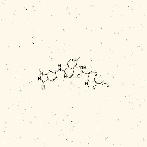 Cc1ccc2c(Nc3ccc4c(Cl)nn(C)c4c3)nccc2c1NC(=O)c1csc2c(N)ncnc12